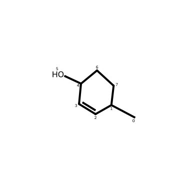 CC1C=CC(O)CC1